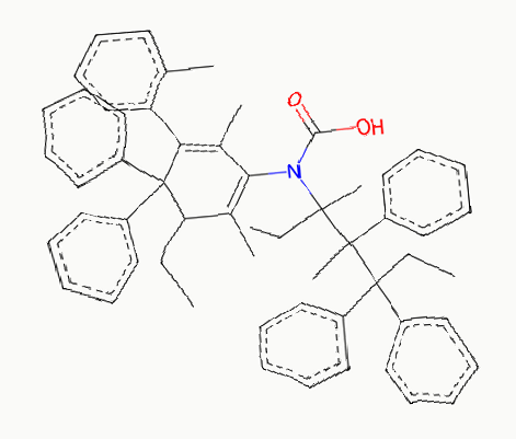 CCC1C(C)=C(N(C(=O)O)C(C)(CC)C(C)(c2ccccc2)C(CC)(c2ccccc2)c2ccccc2)C(C)=C(c2ccccc2C)C1(c1ccccc1)c1ccccc1